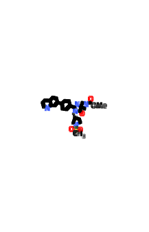 COC(=O)N1CC2(C1)N=C(c1ccc(-c3ccc4cccnc4c3)cc1)N(C[C@@H]1CCN(S(C)(=O)=O)C1)C2=O